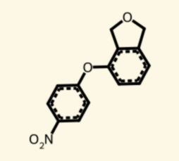 O=[N+]([O-])c1ccc(Oc2cccc3c2COC3)cc1